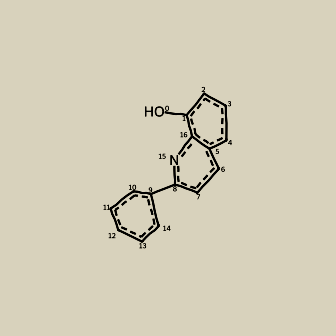 Oc1cccc2ccc(-c3ccccc3)nc12